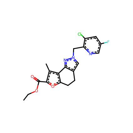 CCOC(=O)c1oc2c(c1C)-c1nn(Cc3ncc(F)cc3Cl)cc1CC2